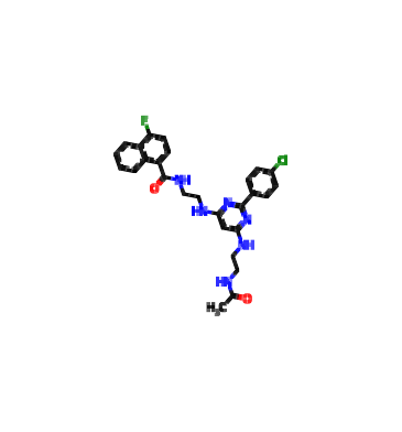 CC(=O)NCCNc1cc(NCCNC(=O)c2ccc(F)c3ccccc23)nc(-c2ccc(Cl)cc2)n1